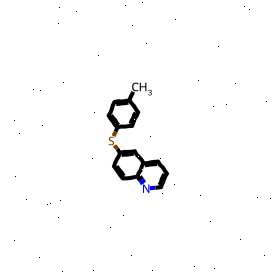 Cc1ccc(Sc2ccc3ncccc3c2)cc1